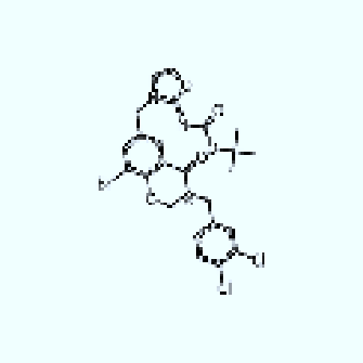 CC(C)(C)OC(=O)N=c1occn1Cc1cc(Br)c2c(c1)C(=O)[C@@H](Cc1ccc(Cl)c(Cl)c1)CO2